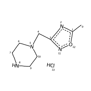 Cc1nc(CN2CCNCC2)no1.Cl